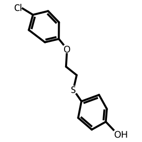 Oc1ccc(SCCOc2ccc(Cl)cc2)cc1